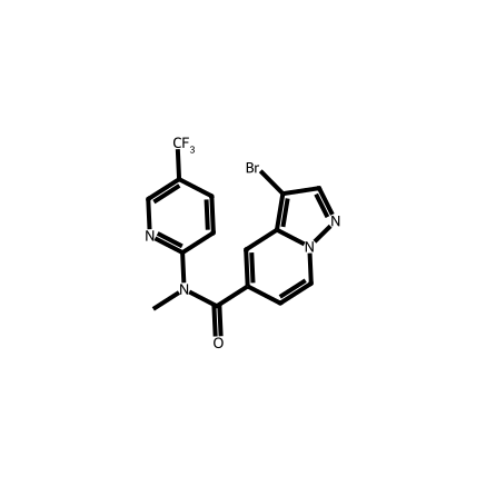 CN(C(=O)c1ccn2ncc(Br)c2c1)c1ccc(C(F)(F)F)cn1